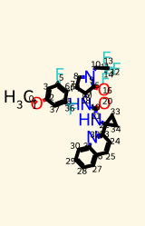 COc1cc(F)c([C@@H]2CN(CC(F)(F)F)C(=O)[C@H]2NC(=O)NC2(c3ccc4ccccc4n3)CC2)c(F)c1